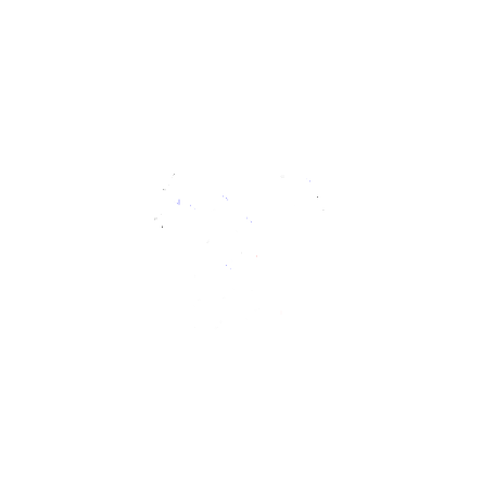 [2H]C([2H])([2H])N1CCC[C@H]1COc1nc(N2C[C@H]3CC[C@@H](C2)N3)c2cc(C(F)(F)F)n(-c3cc(O)cc4ccc(F)c(F)c34)c(=O)c2n1